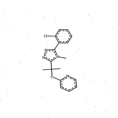 Cn1c(-c2ccccc2Cl)nnc1C(C)(C)Oc1ccccn1